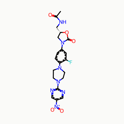 CC(=O)NC[C@H]1CN(c2ccc(N3CCN(c4ncc([N+](=O)[O-])cn4)CC3)c(F)c2)C(=O)O1